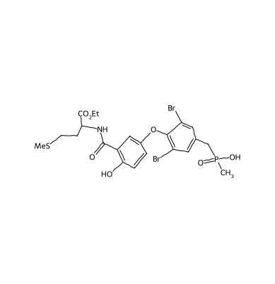 CCOC(=O)C(CCSC)NC(=O)c1cc(Oc2c(Br)cc(CP(C)(=O)O)cc2Br)ccc1O